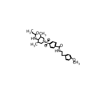 C=CC(=O)NC1C(C)CN(S(=O)(=O)c2ccc(C(=O)NCCc3ccc(OC)cc3)cc2)CC1C